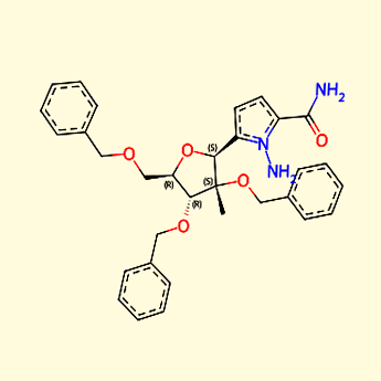 C[C@@]1(OCc2ccccc2)[C@H](OCc2ccccc2)[C@@H](COCc2ccccc2)O[C@H]1c1ccc(C(N)=O)n1N